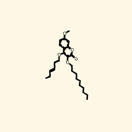 CC/C=C/CCOc1c(OCCCCCCCCCC)c(=O)oc2cc(OC)ccc12